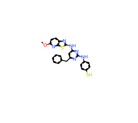 COc1ccc2nc(Nc3cc(Cc4ccccc4)nc(Nc4ccc(S)cc4)n3)sc2n1